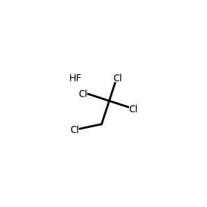 ClCC(Cl)(Cl)Cl.F